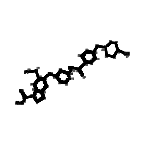 CNC(=O)n1ccc2cc(Oc3ccnc(NC(=O)c4ccc(CN5CCC(O)CC5)cc4)c3)c(OC(C)C)cc21